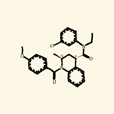 CCN(C(=O)[C@H]1C[C@H](C)N(C(=O)c2ccc(OC)cc2)c2ccccc21)c1cccc(Cl)c1